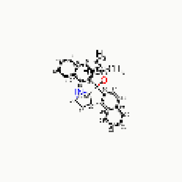 C[Si](C)(C)OC(c1ccc2ccccc2c1)(c1ccc2ccccc2c1)[C@@H]1CCCN1